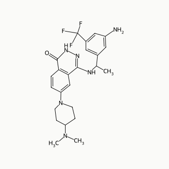 CC(Nc1n[nH]c(=O)c2ccc(N3CCC(N(C)C)CC3)cc12)c1cc(N)cc(C(F)(F)F)c1